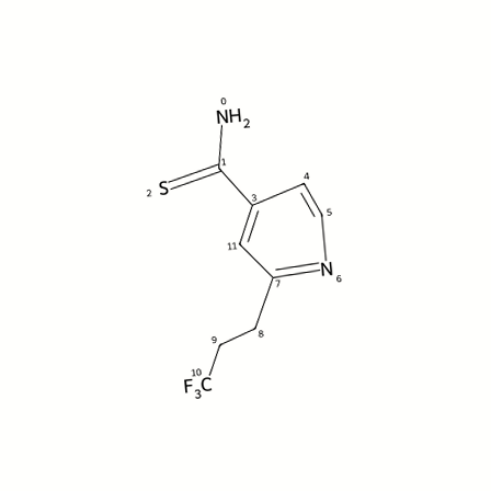 NC(=S)c1ccnc(CCC(F)(F)F)c1